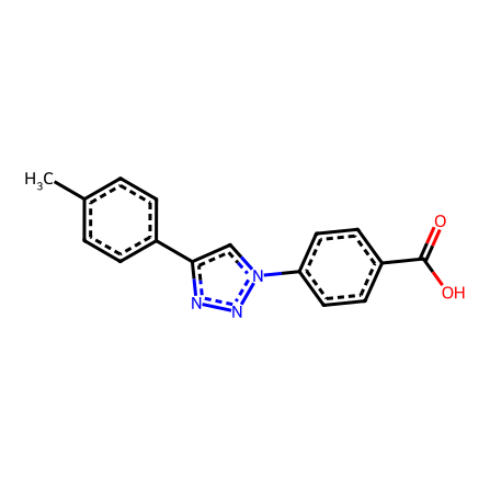 Cc1ccc(-c2cn(-c3ccc(C(=O)O)cc3)nn2)cc1